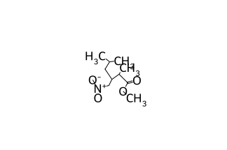 COC(=O)C(C)C(CC(C)C)C[N+](=O)[O-]